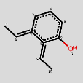 CC=c1[c]ccc(O)c1=CC